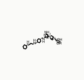 Nc1cc(N2CC3CC2CN3CCP(=O)(O)O)nc(NC[C@H]2CC[C@H](CNCCCNC3CCCCC3)CC2)n1